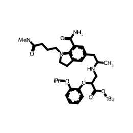 CNC(=O)CCCN1CCc2cc(CC(C)NCC(Oc3ccccc3OC(C)C)C(=O)OC(C)(C)C)cc(C(N)=O)c21